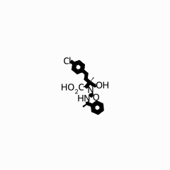 C[C@@H](NC(=O)N1C(O)[C@](C)(CCc2ccc(Cl)cc2)[C@H]1C(=O)O)c1ccccc1